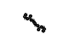 c1ccc(N(c2ccc3c(c2)oc2cc4cc5c(cc4cc23)oc2cc(N(c3ccccc3)c3ccc4oc6ccc7ccccc7c6c4c3)ccc25)c2ccc3oc4ccc5ccccc5c4c3c2)cc1